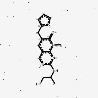 CC(CO)Nc1ncc2cc(Cc3cccs3)c(=O)n(C)c2n1